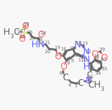 CN1CCCCCOc2cc3c(ncnc3cc2OCCCNC(=O)CCS(C)(=O)=O)Nc2c(ccc3c2OCO3)C1